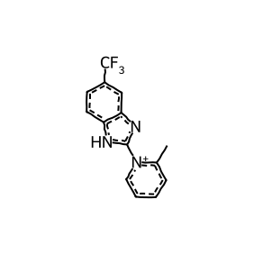 Cc1cccc[n+]1-c1nc2cc(C(F)(F)F)ccc2[nH]1